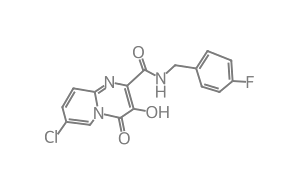 O=C(NCc1ccc(F)cc1)c1nc2ccc(Cl)cn2c(=O)c1O